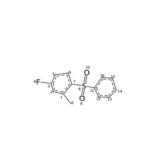 Cc1cc(F)ccc1S(=O)(=O)c1ccccc1